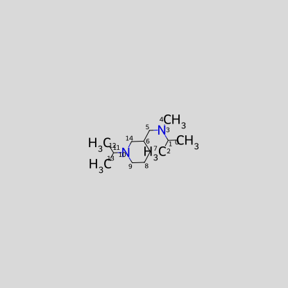 CC(C)N(C)CC1CCCN(C(C)C)C1